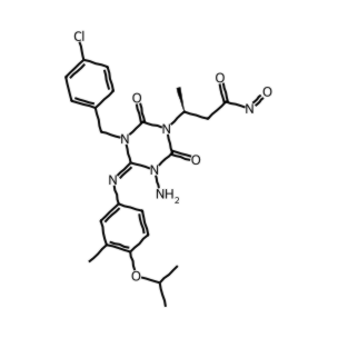 Cc1cc(/N=c2\n(N)c(=O)n([C@@H](C)CC(=O)N=O)c(=O)n2Cc2ccc(Cl)cc2)ccc1OC(C)C